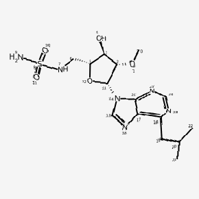 CO[C@H]1[C@H](O)[C@@H](CNS(N)(=O)=O)O[C@H]1n1cnc2c(CC(C)C)ncnc21